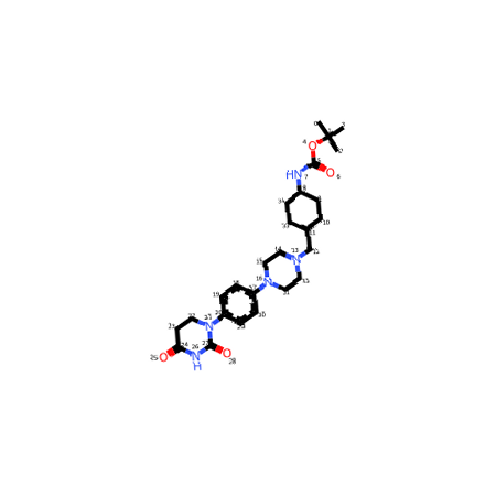 CC(C)(C)OC(=O)NC1CCC(CN2CCN(c3ccc(N4CCC(=O)NC4=O)cc3)CC2)CC1